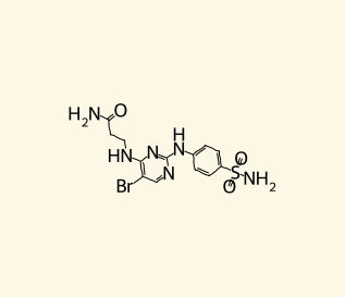 NC(=O)CCNc1nc(Nc2ccc(S(N)(=O)=O)cc2)ncc1Br